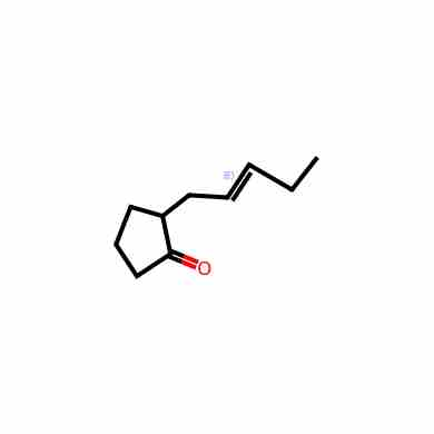 CC/C=C/CC1CCCC1=O